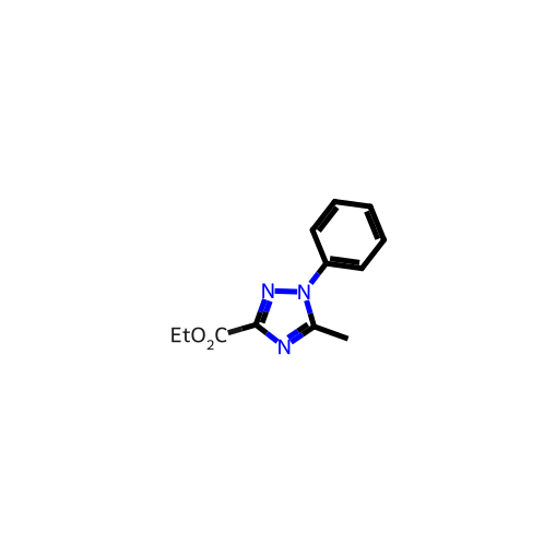 CCOC(=O)c1nc(C)n(-c2ccccc2)n1